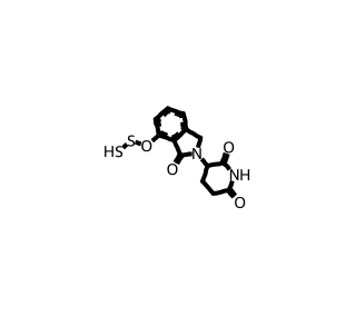 O=C1CCC(N2Cc3cccc(OSS)c3C2=O)C(=O)N1